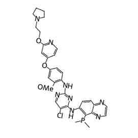 COc1cc(Oc2ccnc(OCCN3CCCC3)c2)ccc1Nc1ncc(Cl)c(Nc2ccc3nccnc3c2P(C)C)n1